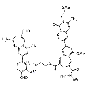 CCCN(CCC)C(=O)C1=Cc2c(cc(-c3ccc4c(=O)n(CCSC)c(C)cc4c3)cc2OC)N=C(NSCCN(C)/C=C\c2cc(-c3cc(C#N)c4c(c3)N=C(N)CC(C=O)=C4)ccc2C=O)C1